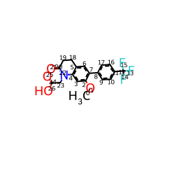 COc1cc2c(cc1-c1ccc(C(F)(F)F)cc1)CCC(=O)N2CC(=O)O